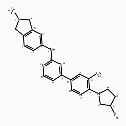 CN1Cc2ccc(Nc3nccc(-c4cnc(N5CCC(F)C5)c(C#N)c4)n3)cc2C1